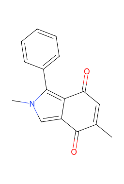 CC1=CC(=O)c2c(cn(C)c2-c2ccccc2)C1=O